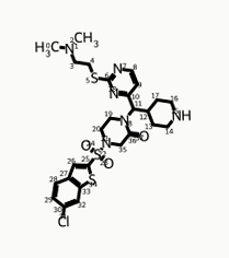 CN(C)CCSc1nccc(C(C2CCNCC2)N2CCN(S(=O)(=O)c3cc4ccc(Cl)cc4s3)CC2=O)n1